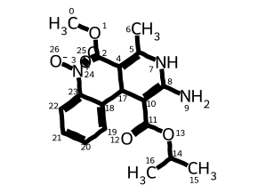 COC(=O)C1=C(C)NC(N)=C(C(=O)OC(C)C)C1c1ccccc1[N+](=O)[O-]